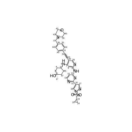 C[C@]1(O)CC[C@@H](Nc2cc(Nc3ccnc(-c4cnn(S(=O)(=O)C5CC5)c4)n3)ncc2C#Cc2ccc(CN3CCOCC3)cc2)CC1